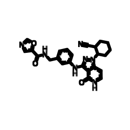 N#CC1CCCCC1n1nc(Nc2cccc(CNC(=O)c3cnco3)c2)c2c(=O)[nH]ccc21